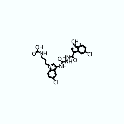 Cn1cc(C(=O)NNC(=O)Nc2cn(CCCNC(=O)O)c3ccc(Cl)cc23)c2cc(Cl)ccc21